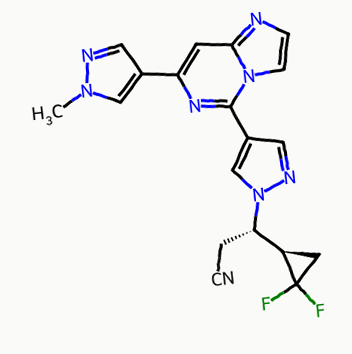 Cn1cc(-c2cc3nccn3c(-c3cnn([C@@H](CC#N)[C@H]4CC4(F)F)c3)n2)cn1